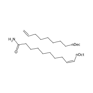 C=CCCCCCCCCCCCCCCCC.CCCCCCCC/C=C\CCCCCCCC(N)=O